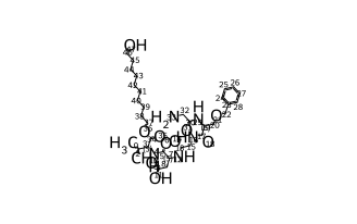 CC(C)[C@H](NC(=O)[C@H](CC(=O)O)NC(=O)CNC(=O)[C@H](COCc1ccccc1)NC(=O)CN)C(=O)OCCCCCCCCCCO